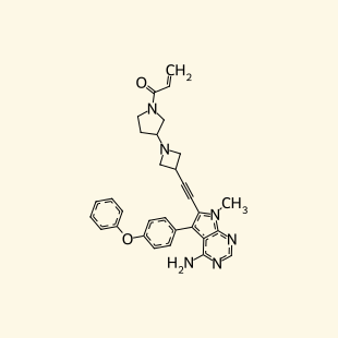 C=CC(=O)N1CCC(N2CC(C#Cc3c(-c4ccc(Oc5ccccc5)cc4)c4c(N)ncnc4n3C)C2)C1